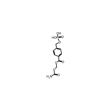 NC(=O)OCOC(=O)c1ccc(COP(=O)(O)O)cc1